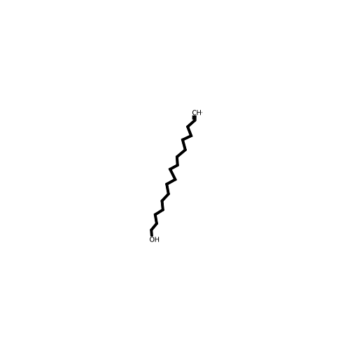 [CH]=CCCCCCCCCCCCCCCCO